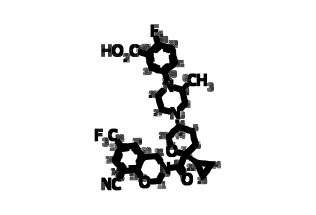 C[C@H]1CN([C@@H]2CC[C@@](C(=O)N3COc4c(C#N)cc(C(F)(F)F)cc4C3)(C3CC3)OC2)CCN1c1ccc(F)c(C(=O)O)c1